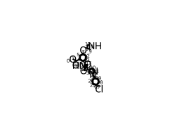 COC(=O)c1cc(OC2CNC2)ccc1NS(=O)(=O)c1cnn(-c2ccc(Cl)cc2)c1